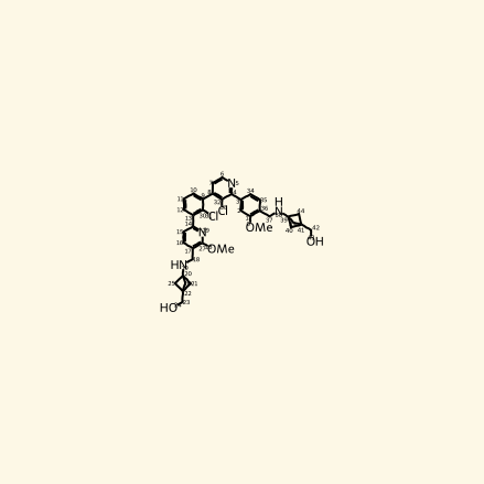 COc1cc(-c2nccc(-c3cccc(-c4ccc(CNC56CC(CO)(C5)C6)c(OC)n4)c3Cl)c2Cl)ccc1CNC12CC(CO)(C1)C2